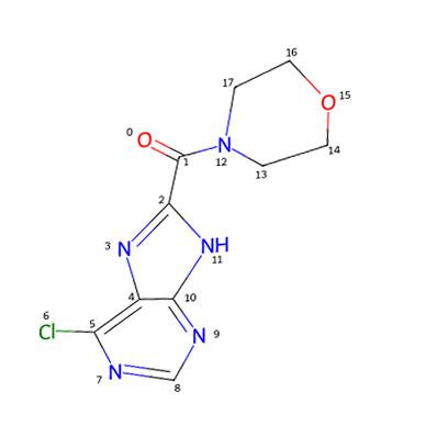 O=C(c1nc2c(Cl)ncnc2[nH]1)N1CCOCC1